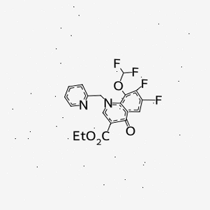 CCOC(=O)c1cn(Cc2ccccn2)c2c(OC(F)F)c(F)c(F)cc2c1=O